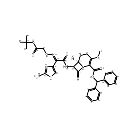 CSC1=C(C(=O)OC(c2ccccc2)c2ccccc2)N2C(=O)C(NC(=O)/C(=N/OCC(=O)OC(C)(C)C)c3csc(N)n3)[C@H]2SC1